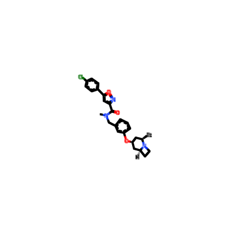 CC[C@@H]1C[C@H](Oc2cccc(CN(C)C(=O)c3cc(-c4ccc(Cl)cc4)on3)c2)C[C@@H]2CCN12